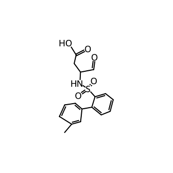 Cc1cccc(-c2ccccc2S(=O)(=O)NC(C=O)CC(=O)O)c1